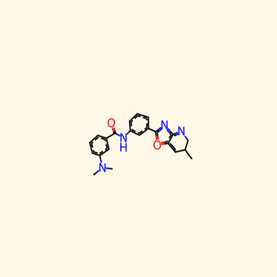 CC1C=c2oc(-c3cccc(NC(=O)c4cccc(N(C)C)c4)c3)nc2=NC1